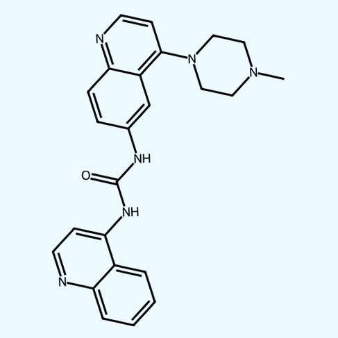 CN1CCN(c2ccnc3ccc(NC(=O)Nc4ccnc5ccccc45)cc23)CC1